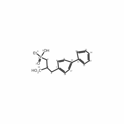 C[CH]P(=O)(O)CC(Cc1ccc(-c2ccccc2)cc1)C(=O)O